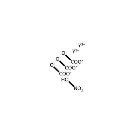 O=C([O-])[O-].O=C([O-])[O-].O=C([O-])[O-].O=[N+]([O-])O.[Y+3].[Y+3]